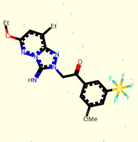 CCOc1cc(CC)c2nn(CC(=O)c3cc(OC)cc(S(F)(F)(F)(F)F)c3)c(=N)n2n1